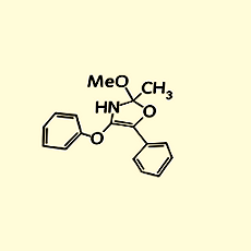 COC1(C)NC(Oc2ccccc2)=C(c2ccccc2)O1